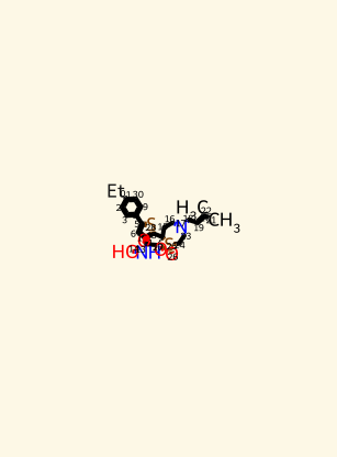 CCc1ccc(-c2ccc([C@@]3(CC(=O)NO)CCN(CC=C(C)C)CCS3(=O)=O)s2)cc1